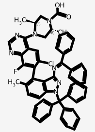 Cc1ccc2c(c(N=C(c3ccccc3)c3ccccc3)nn2C(c2ccccc2)(c2ccccc2)c2ccccc2)c1-c1c(Cl)cc2c(N3C[C@@H](C)N(C(=O)O)C[C@@H]3C)ncnc2c1F